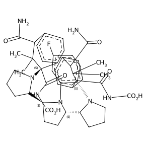 CC1(C)C(C(N)=O)c2ccc(cc2)[C@@]1(C(=O)NC(=O)O)N1CCCC1[C@@H]1CC[C@@H](C2CCCN2[C@]2(C(=O)NC(=O)O)c3ccc(cc3)C(C(N)=O)C2(C)C)N1c1cccc(F)c1